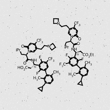 CCOC(=O)C[C@H](NC(=O)C(CC(C)C)n1cc(CCN2CCC2)c(C(F)(F)F)cc1=O)c1c(F)c(-c2c(C)ccc(C3CC3)c2C)cc(C(F)(F)F)c1F.Cc1ccc(C2CC2)c(C)c1-c1cc(C(F)(F)F)c(F)c([C@H](CC(=O)O)NC(=O)C(CC(C)C)n2cc(CCN3CCC3)c(C(F)(F)F)cc2=O)c1F